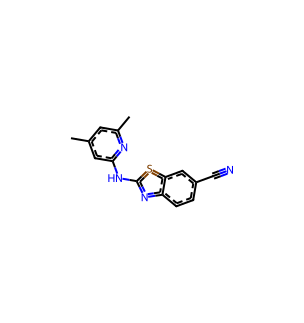 Cc1cc(C)nc(Nc2nc3ccc(C#N)cc3s2)c1